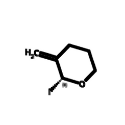 C=C1CCCO[C@@H]1I